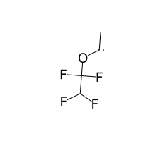 C[CH]OC(F)(F)C(F)F